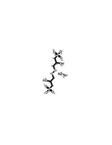 O=S(=O)([O-])CC(O)CSSCC(O)CS(=O)(=O)[O-].[Na+].[Na+]